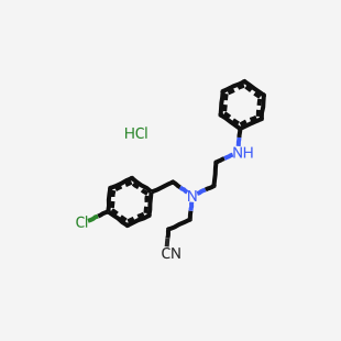 Cl.N#CCCN(CCNc1ccccc1)Cc1ccc(Cl)cc1